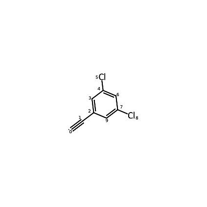 [C]#Cc1cc(Cl)cc(Cl)c1